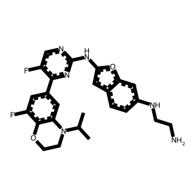 CC(C)N1CCOc2c(F)cc(-c3nc(Nc4cc5ccc(NCCN)cc5o4)ncc3F)cc21